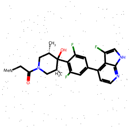 CNCC(=O)N1C[C@@H](C)C(O)(c2c(F)cc(-c3ccnc4[nH]cc(F)c34)cc2F)[C@@H](C)C1